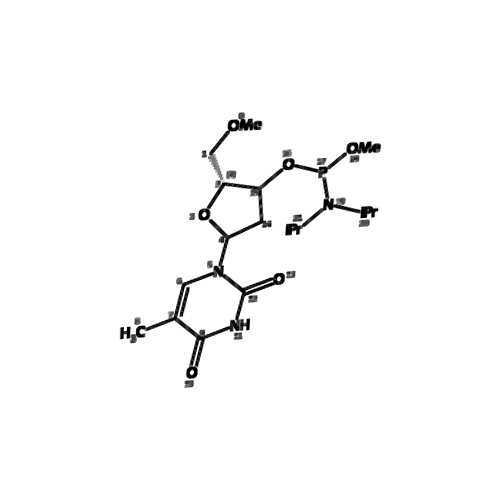 COC[C@H]1OC(n2cc(C)c(=O)[nH]c2=O)CC1OP(OC)N(C(C)C)C(C)C